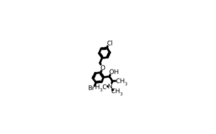 CC(C(O)c1cc(Br)ccc1OCc1ccc(Cl)cc1)N(C)C